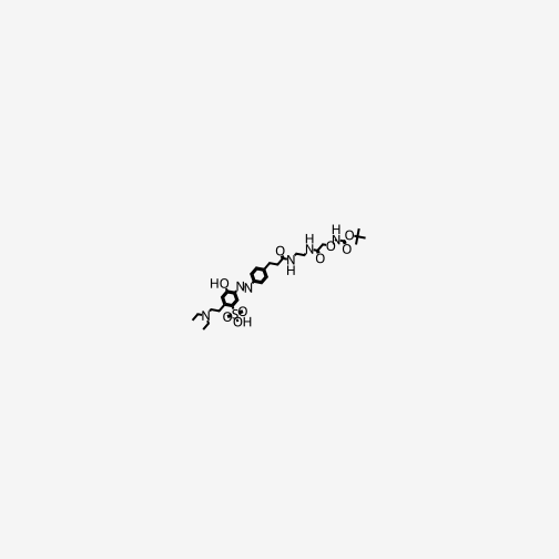 CCN(CC)CCc1cc(O)c(/N=N/c2ccc(CCC(=O)NCCNC(=O)CONC(=O)OC(C)(C)C)cc2)cc1S(=O)(=O)O